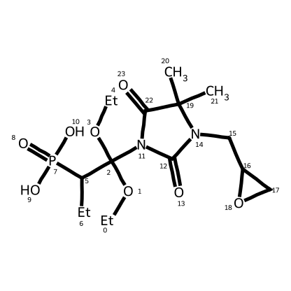 CCOC(OCC)(C(CC)P(=O)(O)O)N1C(=O)N(CC2CO2)C(C)(C)C1=O